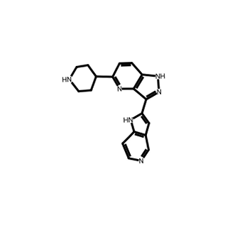 c1cc2[nH]c(-c3n[nH]c4ccc(C5CCNCC5)nc34)cc2cn1